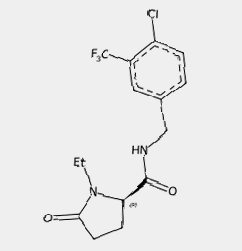 CCN1C(=O)CC[C@@H]1C(=O)NCc1ccc(Cl)c(C(F)(F)F)c1